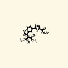 COC(=O)c1cnc(-c2ccn3ncc(/C(=C(\C)O)C(C)O)c3c2)s1